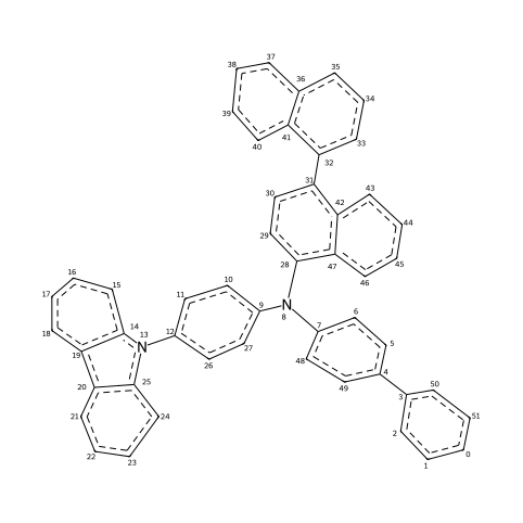 c1ccc(-c2ccc(N(c3ccc(-n4c5ccccc5c5ccccc54)cc3)c3ccc(-c4cccc5ccccc45)c4ccccc34)cc2)cc1